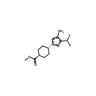 COC(=O)[C@H]1CC[C@H](n2cc(N)c(C(F)F)n2)CC1